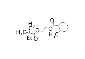 CCC(C)(C)C(=O)OCCOC(=O)C1CCCCC1C